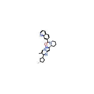 Cc1cn2nc([C@@H]3CCCCN3C(=O)c3ccc4cccnc4c3)cc2nc1C1CC[C@H](C)C1